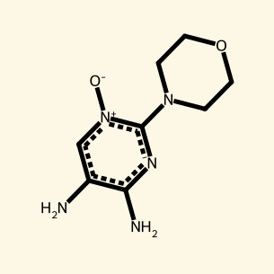 Nc1c[n+]([O-])c(N2CCOCC2)nc1N